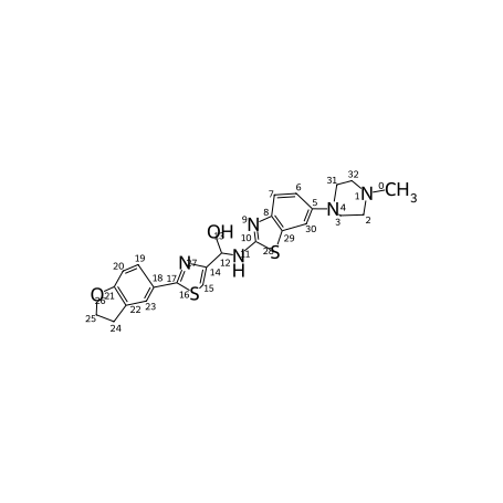 CN1CCN(c2ccc3nc(NC(O)c4csc(-c5ccc6c(c5)CCO6)n4)sc3c2)CC1